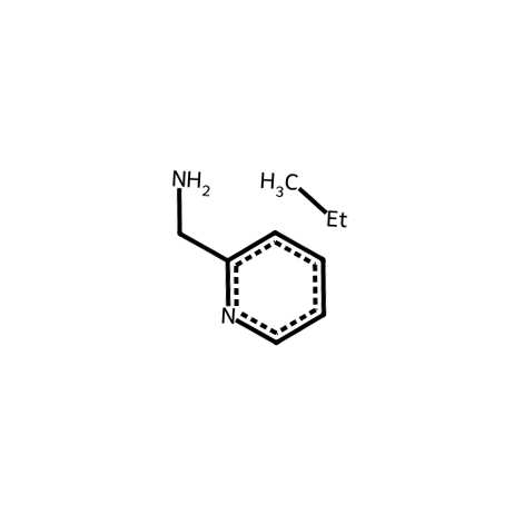 CCC.NCc1ccccn1